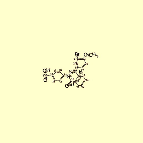 COc1ccc(C2=NN(c3ccc(C(=O)O)cc3)C(=O)[C@@H]3CC=CC[C@H]23)cc1Br